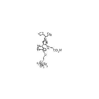 C[Si](C)(C)CCOCn1ccc2c(-c3cn(C(CC#N)C4CCCC4)nc3NC/C=C/C(=O)O)ncnc21